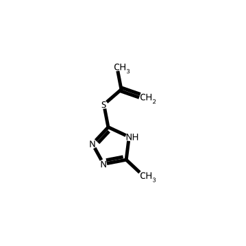 C=C(C)Sc1nnc(C)[nH]1